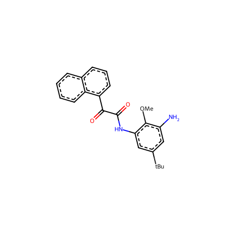 COc1c(N)cc(C(C)(C)C)cc1NC(=O)C(=O)c1cccc2ccccc12